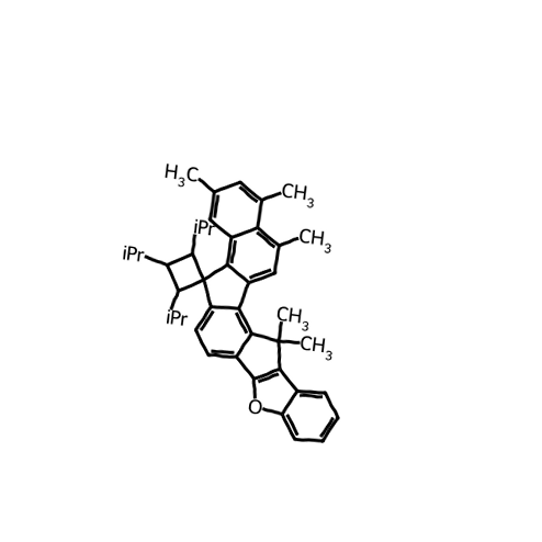 Cc1cc(C)c2c(C)cc3c(c2c1)C1(c2ccc4c(c2-3)C(C)(C)c2c-4oc3ccccc23)C(C(C)C)C(C(C)C)C1C(C)C